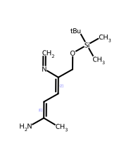 C=N/C(=C\C=C(/C)N)CO[Si](C)(C)C(C)(C)C